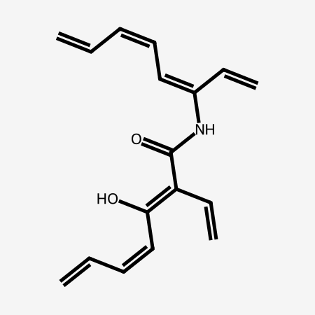 C=C/C=C\C=C(/C=C)NC(=O)/C(C=C)=C(O)/C=C\C=C